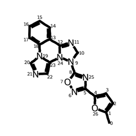 Cc1ccc(-c2noc(N3CN=C4c5ccccc5-n5cncc5N43)n2)o1